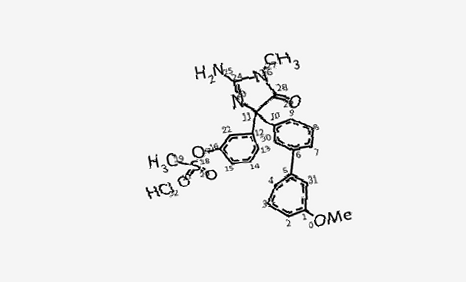 COc1cccc(-c2cccc(C3(c4cccc(OS(C)(=O)=O)c4)N=C(N)N(C)C3=O)c2)c1.Cl